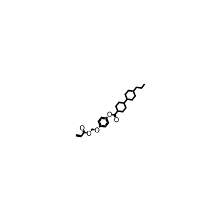 C=CC(=O)OCOc1ccc(OC(=O)C2CCC(C3CCC(CCC)CC3)CC2)cc1